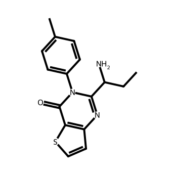 CCC(N)c1nc2ccsc2c(=O)n1-c1ccc(C)cc1